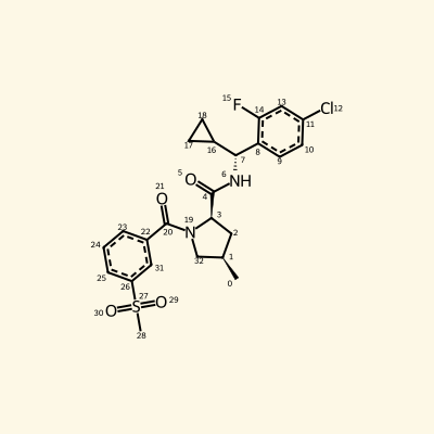 C[C@@H]1C[C@H](C(=O)N[C@@H](c2ccc(Cl)cc2F)C2CC2)N(C(=O)c2cccc(S(C)(=O)=O)c2)C1